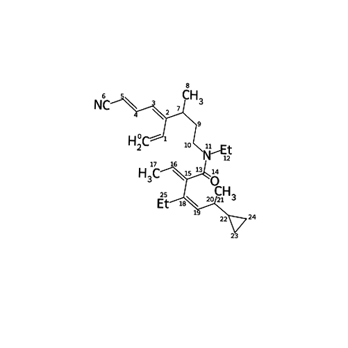 C=C/C(=C\C=C\C#N)C(C)CCN(CC)C(=O)C(=C/C)/C(=C\C(C)C1CC1)CC